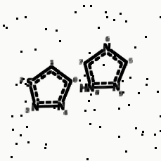 [c]1csnn1.[c]1nc[nH]n1